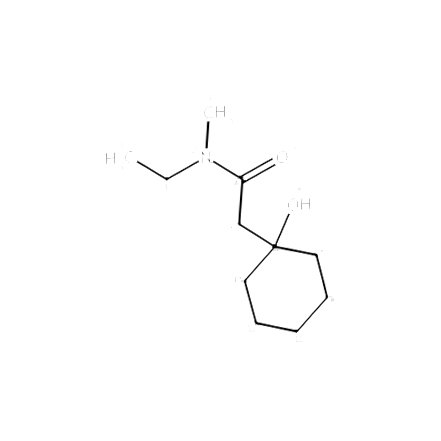 CCN(C)C(=O)CC1(O)CCCCC1